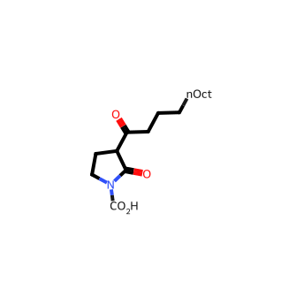 CCCCCCCCCCCC(=O)C1CCN(C(=O)O)C1=O